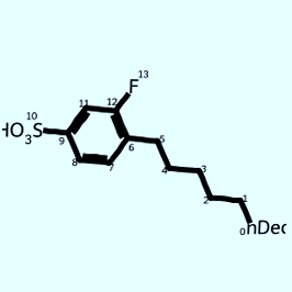 CCCCCCCCCCCCCCCc1ccc(S(=O)(=O)O)cc1F